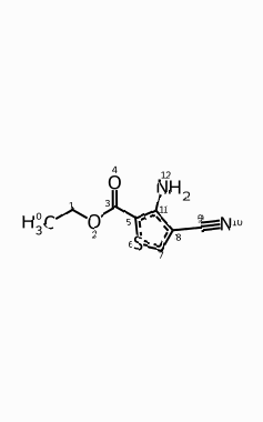 CCOC(=O)c1scc(C#N)c1N